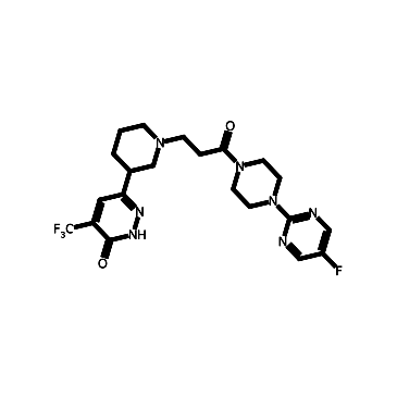 O=C(CCN1CCCC(c2cc(C(F)(F)F)c(=O)[nH]n2)C1)N1CCN(c2ncc(F)cn2)CC1